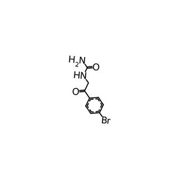 NC(=O)NCC(=O)c1ccc(Br)cc1